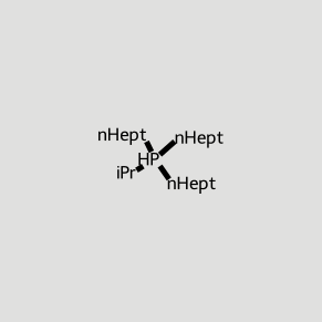 CCCCCCC[PH](CCCCCCC)(CCCCCCC)C(C)C